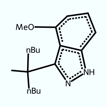 CCCCC(C)(CCCC)c1n[nH]c2cccc(OC)c12